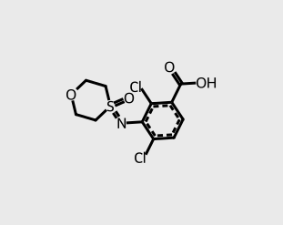 O=C(O)c1ccc(Cl)c(N=S2(=O)CCOCC2)c1Cl